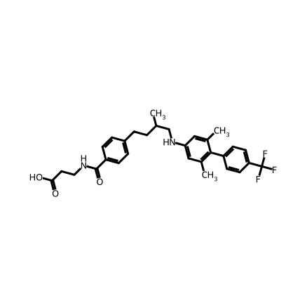 Cc1cc(NCC(C)CCc2ccc(C(=O)NCCC(=O)O)cc2)cc(C)c1-c1ccc(C(F)(F)F)cc1